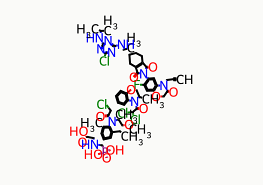 C#CCN1C(=O)COc2cc(F)c(N3C(=O)C4=C(CCCC4)C3=O)cc21.CC1COc2ccccc2N1C(=O)C(Cl)Cl.CCNc1nc(Cl)nc(NC(C)C)n1.CCc1cccc(C)c1N(C(=O)CCl)C(C)COC.O=C(O)CNCP(=O)(O)O